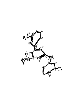 OC1(Nc2nc(Nc3ccnc(C(F)(F)F)c3)nc(-c3cccc(C(F)(F)F)n3)n2)CC1